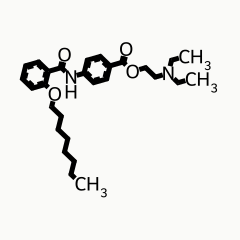 CCCCCCCCOc1ccccc1C(=O)Nc1ccc(C(=O)OCCN(CC)CC)cc1